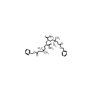 CC(C)(CCC(=O)OCc1ccccc1)CCN(CN(CCC(C)(C)CCC(=O)OCc1ccccc1)C(N)=S)C(N)=S